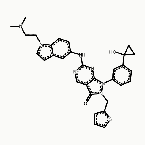 CN(C)CCn1ccc2cc(Nc3ncc4c(=O)n(Cc5cccs5)n(-c5cccc(C6(O)CC6)c5)c4n3)ccc21